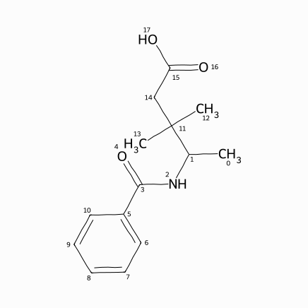 CC(NC(=O)c1ccccc1)C(C)(C)CC(=O)O